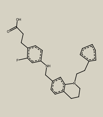 O=C(O)CCc1ccc(NCc2ccc3c(c2)N(CCc2ccccc2)CCC3)cc1F